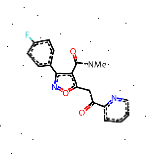 CNC(=O)c1c(-c2ccc(F)cc2)noc1CC(=O)c1ccccn1